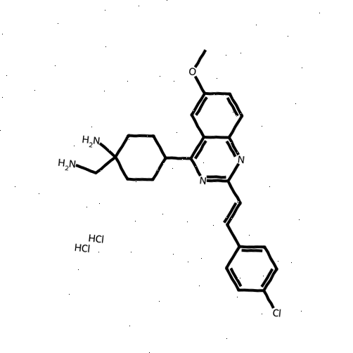 COc1ccc2nc(C=Cc3ccc(Cl)cc3)nc(C3CCC(N)(CN)CC3)c2c1.Cl.Cl